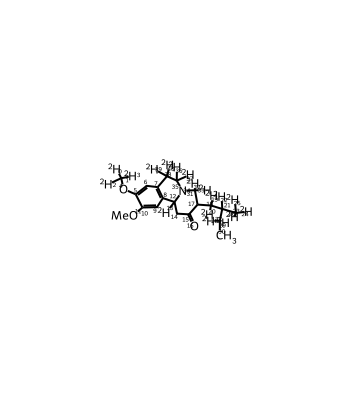 [2H]C([2H])([2H])Oc1cc2c(cc1OC)C1([2H])CC(=O)C(C([2H])([2H])C([2H])(C([2H])([2H])[2H])C([2H])([2H])C)C([2H])([2H])N1C([2H])([2H])C2([2H])[2H]